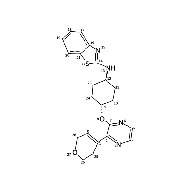 C1=C(c2nccnc2O[C@H]2CC[C@H](Nc3nc4ccccc4s3)CC2)CCOC1